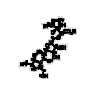 CCCc1nn(CO)c2c(=O)n(C3OC(COC(C(=O)O)P(=O)(NC(C)C)NC(C)C)C(O)C3O)nnc12